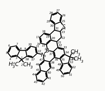 CC1(C)c2ccccc2-c2ccc(N3B4c5cccc6c5C(CC5Sc7ccccc7C65)c5cc6c(c(c54)-c4cc5ccccc5cc43)-c3ccccc3C6(C)C)cc21